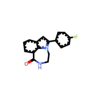 O=C1NCCn2c(-c3ccc(F)cc3)cc3cccc1c32